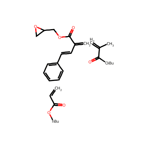 C=C(C)C(=O)OCC(C)C.C=C(C=Cc1ccccc1)C(=O)OCC1CO1.C=CC(=O)OCCCC